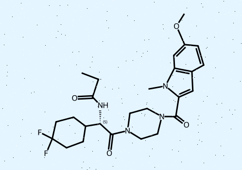 C[CH]C(=O)N[C@H](C(=O)N1CCN(C(=O)c2cc3ccc(OC)cc3n2C)CC1)C1CCC(F)(F)CC1